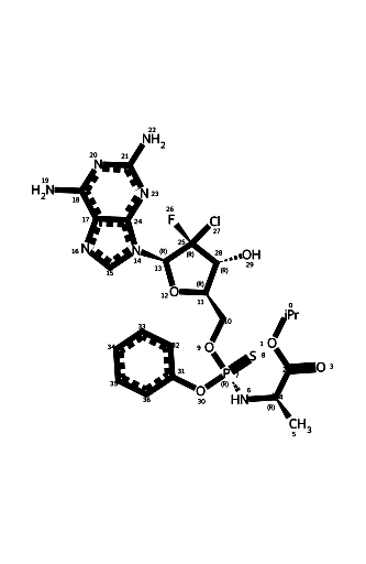 CC(C)OC(=O)[C@@H](C)N[P@@](=S)(OC[C@H]1O[C@@H](n2cnc3c(N)nc(N)nc32)[C@](F)(Cl)[C@@H]1O)Oc1ccccc1